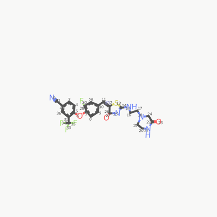 N#Cc1ccc(Oc2ccc(/C=C3/SC(NCCN4CCNC(=O)C4)=NC3=O)cc2F)c(C(F)(F)F)c1